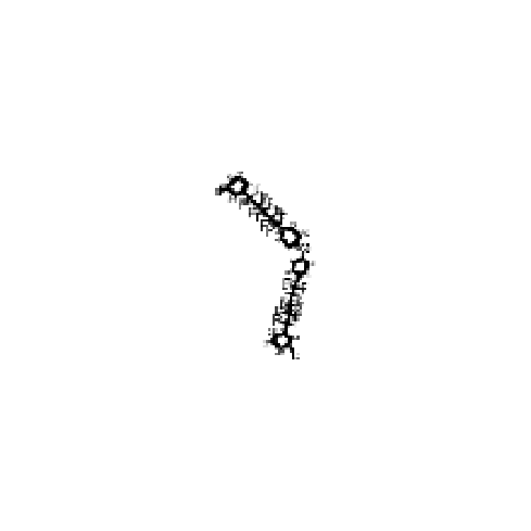 FC(F)(c1ccc(Oc2ccc(C(F)(F)C(F)(F)C(F)(F)C(F)(F)C(F)(F)c3cccc(I)c3)cc2)cc1)C(F)(F)C(F)(F)C(F)(F)C(F)(F)c1cccc(I)c1